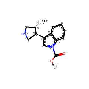 CCOC(=O)[C@H]1CNC[C@@H]1c1cn(C(=O)OC(C)(C)C)c2ccccc12